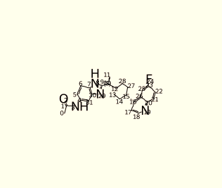 CC(=O)Nc1ccc2[nH]c([C@@H](C)[C@H]3CC[C@@H](c4ccnc5ccc(F)cc54)CC3)nc2c1